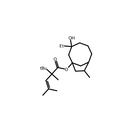 CCC1(O)CCCC2CC(OC(=O)C(C)(C=C(C)C)C(C)(C)C)(CC2C)C1